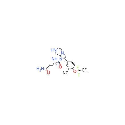 N#Cc1cc(C2=CN3CCNCC3N2C(=O)[C@@H](N)CCC(N)=O)ccc1OC(F)(F)C(F)(F)F